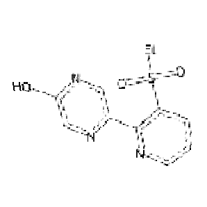 CCS(=O)(=O)c1cccnc1-c1cnc(O)cn1